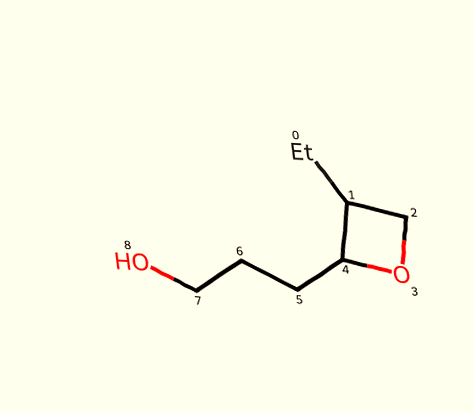 CCC1COC1CCCO